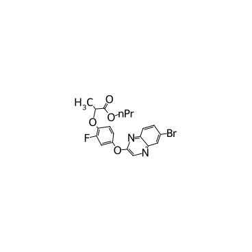 CCCOC(=O)C(C)Oc1ccc(Oc2cnc3cc(Br)ccc3n2)cc1F